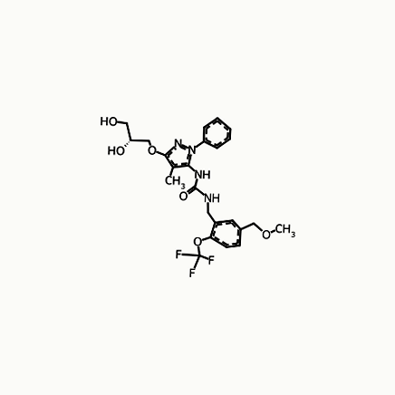 COCc1ccc(OC(F)(F)F)c(CNC(=O)Nc2c(C)c(OC[C@H](O)CO)nn2-c2ccccc2)c1